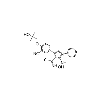 CC(C)(O)COc1ccc(-c2cn(-c3ccccc3)c(NO)c2C(=N)Cl)cc1C#N